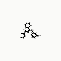 C=C(/C=C\C)c1nc2c(c(Nc3cccc(F)c3)n1)CCCC2